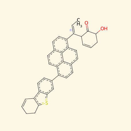 C/C=C(/c1ccc2ccc3c(-c4ccc5c6c(sc5c4)CCC=C6)ccc4ccc1c2c43)C1C=CCC(O)C1=O